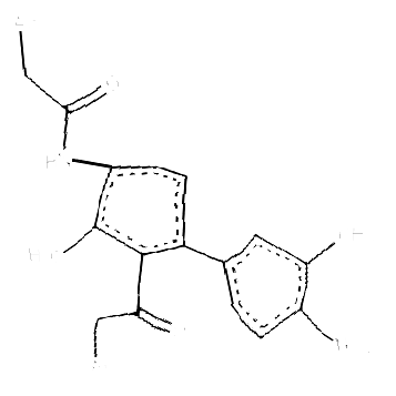 CC(=O)CC(=O)Nc1ccc(-c2ccc(N)c(C)c2)c(C(=O)CC(C)=O)c1C